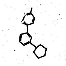 Cc1ccc(-c2cccc(C3CCCCC3)c2)nn1